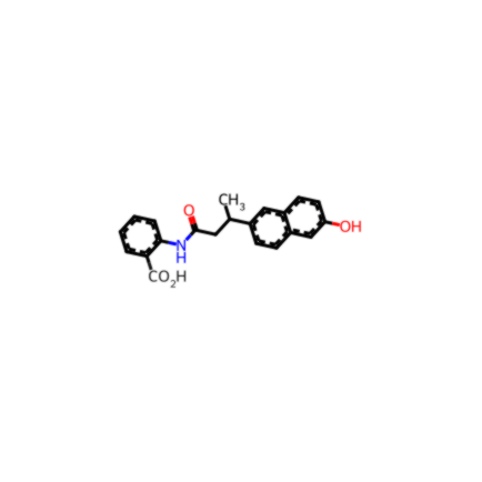 CC(CC(=O)Nc1ccccc1C(=O)O)c1ccc2cc(O)ccc2c1